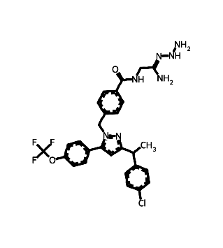 CC(c1ccc(Cl)cc1)c1cc(-c2ccc(OC(F)(F)F)cc2)n(Cc2ccc(C(=O)NC/C(N)=N/NN)cc2)n1